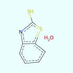 O.Sc1nc2ccccc2s1